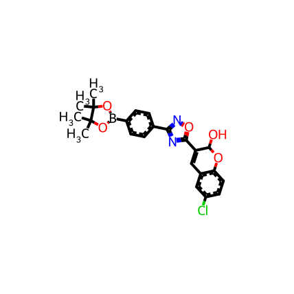 CC1(C)OB(c2ccc(-c3noc(C4=Cc5cc(Cl)ccc5OC4O)n3)cc2)OC1(C)C